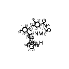 CNC(=O)CN(C)C(=O)c1ccc(COc2ccc(C)cc2-c2csc(N3C[C@H]4CC[C@@H](C3)C4C(=O)O)n2)c(C)c1